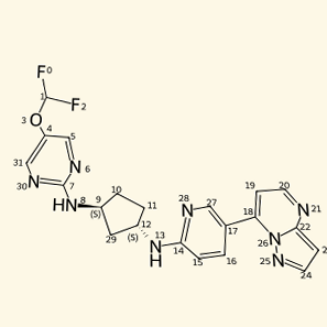 FC(F)Oc1cnc(N[C@H]2CC[C@H](Nc3ccc(-c4ccnc5ccnn45)cn3)C2)nc1